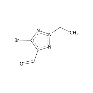 CCn1nc(Br)c(C=O)n1